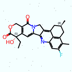 CC[C@@]1(O)C(=O)OCc2c1cc1n(c2=O)Cc2c-1nc1cc(F)c(C)c3c1c2C[C@@H](C)C3